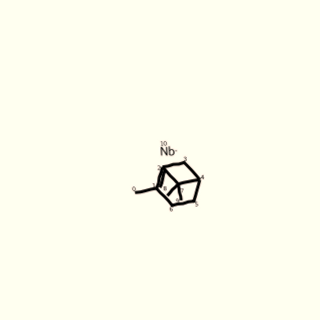 CC1=C2CC(CC1)C2(C)C.[Nb]